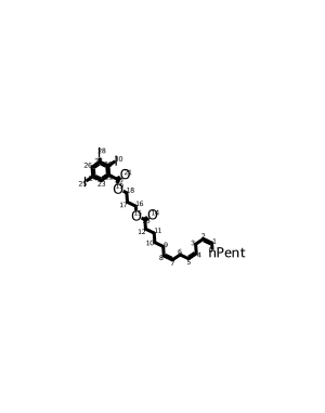 CCCCC/C=C\C/C=C\C/C=C\CCCCC(=O)OCCCOC(=O)c1cc(I)cc(I)c1I